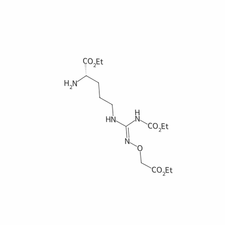 CCOC(=O)CO/N=C(/NCCC[C@H](N)C(=O)OCC)NC(=O)OCC